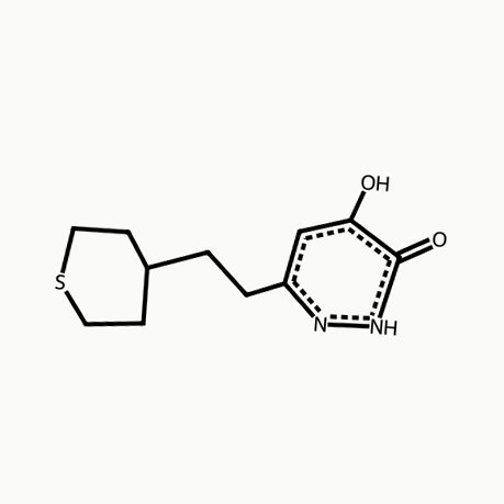 O=c1[nH]nc(CCC2CCSCC2)cc1O